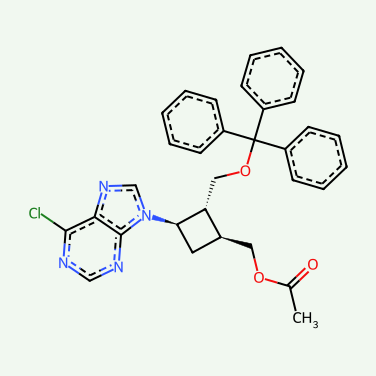 CC(=O)OC[C@H]1C[C@@H](n2cnc3c(Cl)ncnc32)[C@@H]1COC(c1ccccc1)(c1ccccc1)c1ccccc1